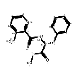 CC(C)(C)OC(=O)[C@@H](Cc1ccccc1)NC(=O)c1ncccc1C(=O)O